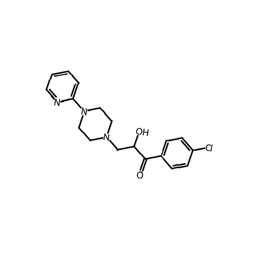 O=C(c1ccc(Cl)cc1)C(O)CN1CCN(c2ccccn2)CC1